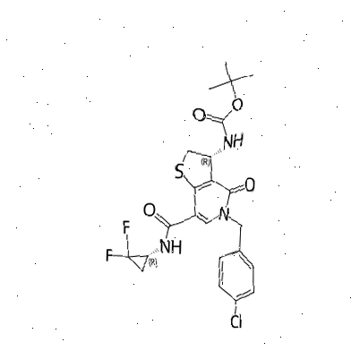 CC(C)(C)OC(=O)N[C@H]1CSc2c(C(=O)N[C@@H]3CC3(F)F)cn(Cc3ccc(Cl)cc3)c(=O)c21